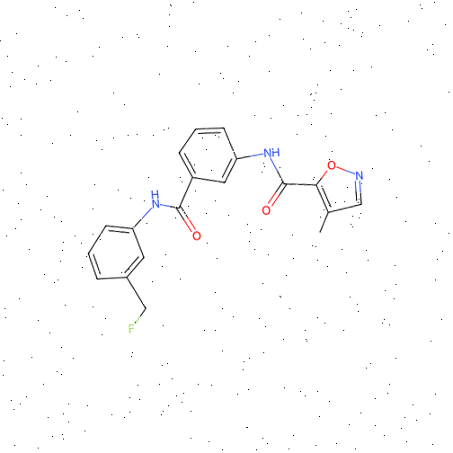 Cc1cnoc1C(=O)Nc1cccc(C(=O)Nc2cccc(CF)c2)c1